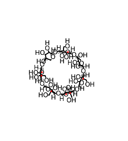 OCC1O[C@@H]2O[C@]3(O)CO[C@H](O[C@@H]4C(CO)O[C@H](O[C@]5(O)CO[C@@H](O[C@H]6C(CO)O[C@@H](O[C@H]7C(CO)O[C@H](O[C@@H]8C(CO)O[C@H](O[C@H]1C(O)C2O)C(O)C8O)C(O)C7O)C(O)C6O)C(O)C5O)C(O)C4O)C(O)C3O